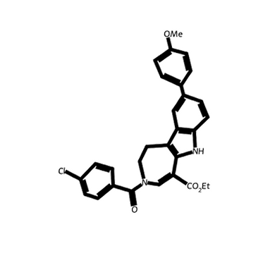 CCOC(=O)C1=CN(C(=O)c2ccc(Cl)cc2)CCc2c1[nH]c1ccc(-c3ccc(OC)cc3)cc21